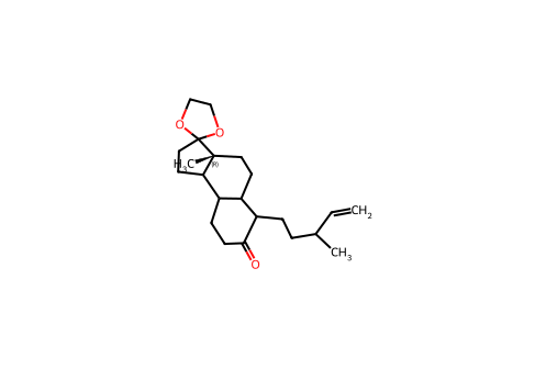 C=CC(C)CCC1C(=O)CCC2C1CC[C@]1(C)C2CCC12OCCO2